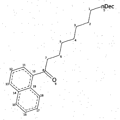 CCCCCCCCCCCCCCCCCC(=O)c1cccc2ccccc12